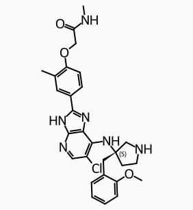 CNC(=O)COc1ccc(-c2nc3c(N[C@@]4(Cc5ccccc5OC)CCNC4)c(Cl)cnc3[nH]2)cc1C